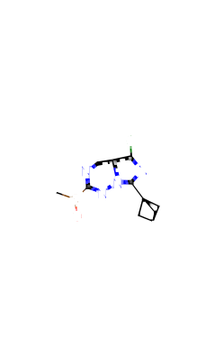 C[S+]([O-])c1ncc2c(Cl)nc(C34CC(C3)C4)n2n1